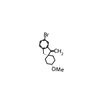 C=C1c2cc(Br)ccc2C[C@]12CC[C@@H](OC)CC2